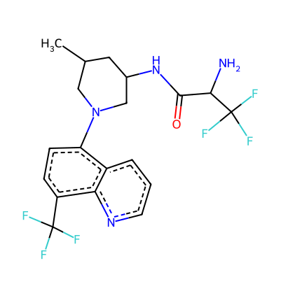 CC1CC(NC(=O)C(N)C(F)(F)F)CN(c2ccc(C(F)(F)F)c3ncccc23)C1